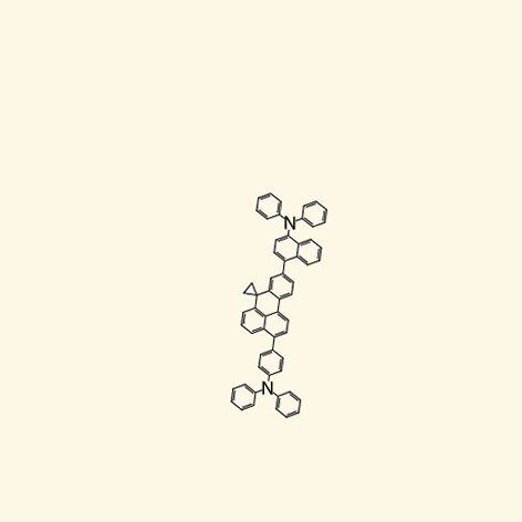 c1ccc(N(c2ccccc2)c2ccc(-c3ccc4c5c(cccc35)C3(CC3)c3cc(-c5ccc(N(c6ccccc6)c6ccccc6)c6ccccc56)ccc3-4)cc2)cc1